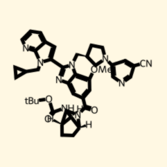 COc1cc(C(=O)N2C[C@H]3CC[C@@H]2[C@@H]3NC(=O)OC(C)(C)C)cc2nc(-c3cc4cccnc4n3CC3CC3)n(C[C@H]3CCN(c4cncc(C#N)c4)C3)c12